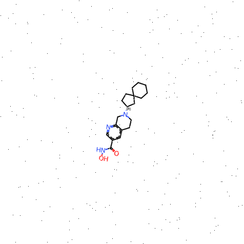 O=C(NO)c1cnc2c(c1)CCN([C@@H]1CCC3(CCCCC3)C1)C2